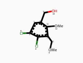 COCc1c(Cl)c(Cl)cc(CO)c1OC